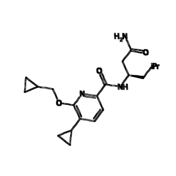 CC(C)C[C@H](CC(N)=O)NC(=O)c1ccc(C2CC2)c(OCC2CC2)n1